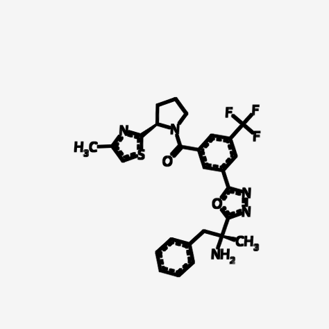 Cc1csc([C@H]2CCCN2C(=O)c2cc(-c3nnc([C@](C)(N)Cc4ccccc4)o3)cc(C(F)(F)F)c2)n1